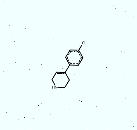 Clc1ccc(C2=CCN[CH]C2)cc1